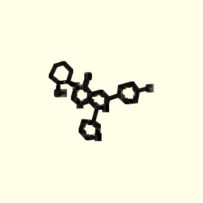 O=c1c2cc(-c3ccc(Cl)cc3)nc(-c3cccnc3)c2ncn1[C@@H]1CCCC[C@@H]1O